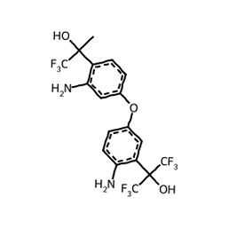 CC(O)(c1ccc(Oc2ccc(N)c(C(O)(C(F)(F)F)C(F)(F)F)c2)cc1N)C(F)(F)F